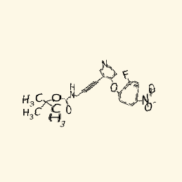 CC(C)(C)OC(=O)NCC#Cc1cnccc1Oc1ccc([N+](=O)[O-])cc1F